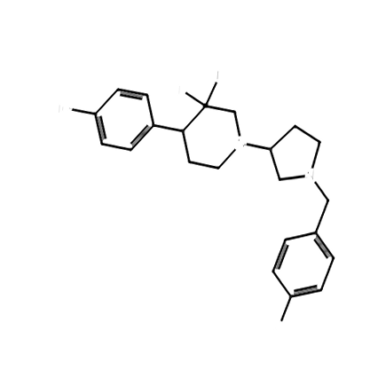 Oc1ccc(C2CCN(C3CCN(Cc4ccc(C(F)(F)F)cc4)C3)CC2(F)F)cc1